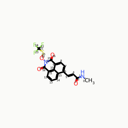 CNC(=O)/C=C/c1ccc2c3c(cccc13)C(=O)N(OSC(F)(F)F)C2=O